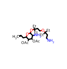 C=CCC1OC(OC(CC)(CC)CCOC(CC)(CC)CCN)C(N)C(OC(C)=O)C1OC(C)=O